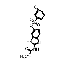 COC(=O)Nc1nc2ccc(OS(=O)(=O)c3cccc(C)c3)cc2[nH]1